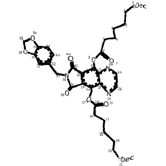 CCCCCCCCCCCCCCCC(=O)Oc1c2c(c(OC(=O)CCCCCCCCCCCCCCC)c3nccnc13)C(=O)N(Cc1ccc3c(c1)OCO3)C2=O